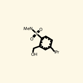 CNS(=O)(=O)c1ccc(C(C)C)cc1CO